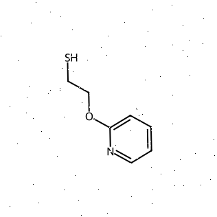 SCCOc1ccccn1